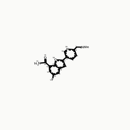 CNCc1ccc(-c2cc3cc(F)cc(C(N)=O)c3o2)cn1